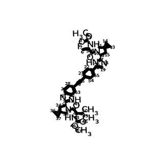 COC(=O)N/C(=C\F)C(=O)N1CC2(CC2)C[C@H]1c1ncc(-c2ccc(C#Cc3ccc4nc([C@@H]5CC6(CC6)CN5C(=O)[C@@H](NC(=O)OC)C(C)C)[nH]c4c3)cc2)[nH]1